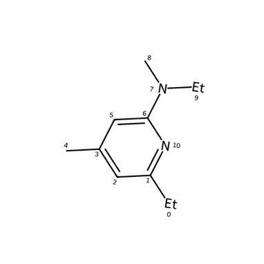 CCc1cc(C)cc(N(C)CC)n1